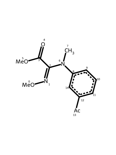 CON=C(C(=O)OC)N(C)c1cccc(C(C)=O)c1